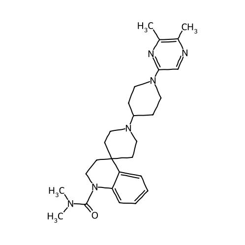 Cc1ncc(N2CCC(N3CCC4(CCN(C(=O)N(C)C)c5ccccc54)CC3)CC2)nc1C